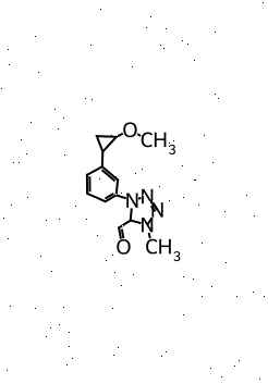 COC1CC1c1cccc(N2N=NN(C)C2C=O)c1